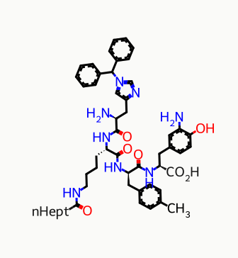 CCCCCCCC(=O)NCCCC[C@H](NC(=O)[C@@H](N)Cc1cn(C(c2ccccc2)c2ccccc2)cn1)C(=O)N[C@H](Cc1ccc(C)cc1)C(=O)N[C@@H](Cc1ccc(O)c(N)c1)C(=O)O